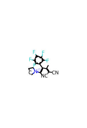 CC(=C(C#N)C#N)/C(=C(\C)N1CCCC1)c1c(F)c(F)c(F)c(F)c1F